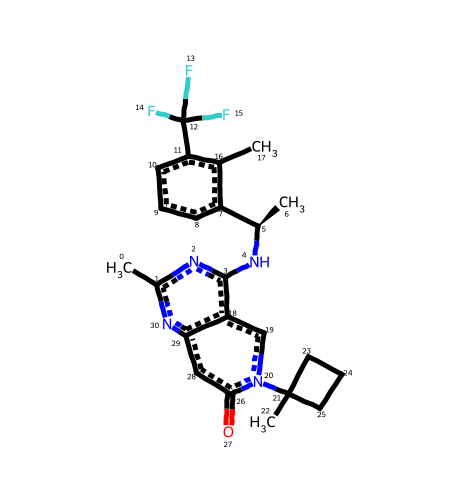 Cc1nc(N[C@H](C)c2cccc(C(F)(F)F)c2C)c2cn(C3(C)CCC3)c(=O)cc2n1